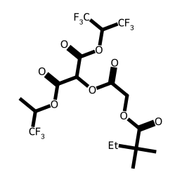 CCC(C)(C)C(=O)OCC(=O)OC(C(=O)OC(C)C(F)(F)F)C(=O)OC(C(F)(F)F)C(F)(F)F